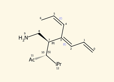 C=C/C=C(\C=C/C)[C@H](CN)[C@@H](C(C)=O)C(C)C